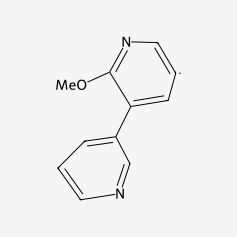 COc1nc[c]cc1-c1cccnc1